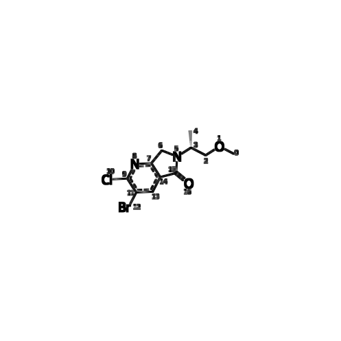 COC[C@@H](C)N1Cc2nc(Cl)c(Br)cc2C1=O